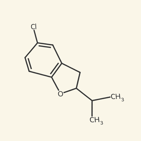 CC(C)C1Cc2cc(Cl)ccc2O1